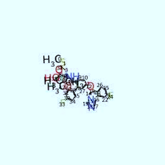 CSCC[C@@](NC(=O)c1ccc(OC(Cn2ccnc2)c2ccc(F)cc2)cc1-c1ccc(F)cc1)(C(=O)O)C(C)(C)C